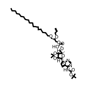 C=CCO[C@H](COCCCCCCCCCCCCCCCCCC)COP(=O)(O)OC[C@@]1(C)O[C@@H](c2ccc3c(NC(=O)OC(C)(C)C)ncnn23)[C@@H]2OC(C)(C)O[C@@H]21